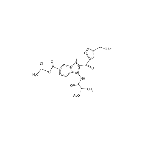 CC(=O)OCc1coc(C(=O)c2[nH]c3cc(C(=O)OC(C)Cl)ccc3c2NC(=O)[C@H](C)OC(C)=O)c1